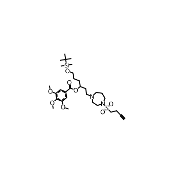 C#CCCS(=O)(=O)N1CCCN(CCC(CCCO[Si](C)(C)C(C)(C)C)OC(=O)c2cc(OC)c(OC)c(OC)c2)CC1